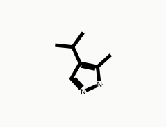 CC1=C(C(C)C)C=N[N]1